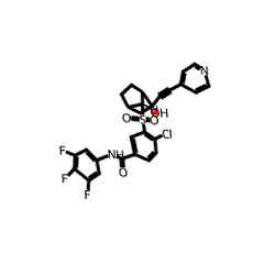 O=C(Nc1cc(F)c(F)c(F)c1)c1ccc(Cl)c(S(=O)(=O)[C@@H]2C3CCC2[C@@](O)(C#Cc2ccncc2)C3)c1